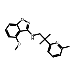 COc1cccc2onc(NCC(C)(C)c3cccc(C)n3)c12